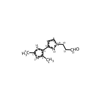 Cc1nc(C)c(-c2ccn(CCC=O)n2)s1